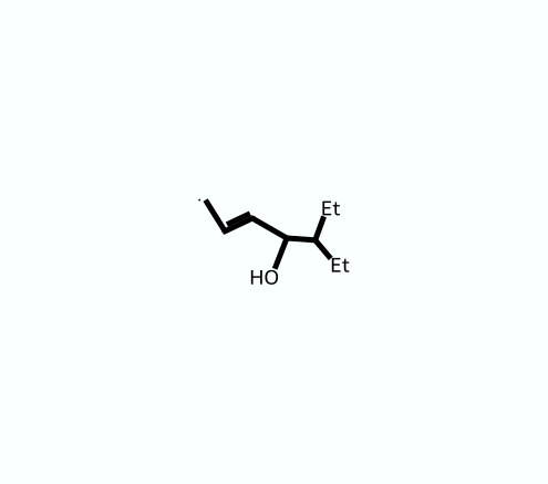 [CH2]C=CC(O)C(CC)CC